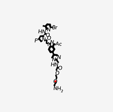 CC(=O)c1nn(CC(=O)N2C[C@H](F)C[C@H]2C(=O)Nc2nc(Br)ccc2C)c2ccc(-c3cnc(CNC(=O)COCCOCCN)nc3)cc12